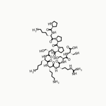 N=C(N)NCCC[C@H](NC(=O)[C@H](CCCCN)NC(=O)[C@H](CCCCN)NC(=O)[C@H](CO)NC(=O)[C@@H]1CCCN1C(=O)[C@@H]1CCCN1C(=O)[C@H](CCCCN)NC(=O)[C@@H]1CCCN1)C(=O)N[C@@H](CO)C(=O)N[C@@H](CS)C(=O)O